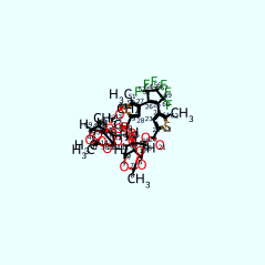 COCOC1C2OC3(C)O[C@@H]1C(OCOC)[C@@H](O3)[C@@H]2OC(=O)c1cc(C2=C(c3cc(C(=O)O[C@H]4C5OC6(C)OC4[C@H](OCOC)[C@H](O6)C5C)sc3C)C(F)(F)C(F)(F)C2(F)F)c(C)s1